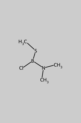 CSB(Cl)N(C)C